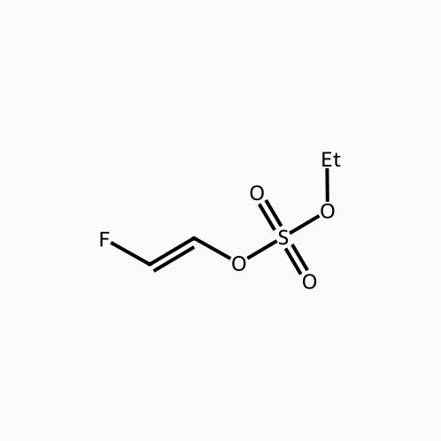 CCOS(=O)(=O)OC=CF